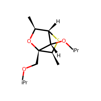 CC(C)OC[C@]12O[C@@H](C)[C@H](S[C@H]1C)[C@@H]2OC(C)C